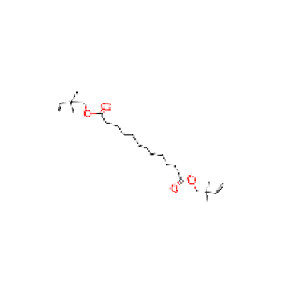 C=CC(C)(C)COC(=O)CCCCCCCCCCC(=O)OCC(C)(C)C=C